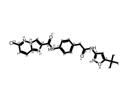 CC(C)(C)c1cc(NC(=O)Cc2ccc(NC(=O)c3cn4nc(Cl)ccc4n3)cc2)no1